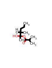 CCCC(C)(C)C(C)(O)OC(=O)C(C)C